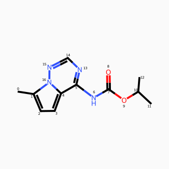 Cc1ccc2c(NC(=O)OC(C)C)ncnn12